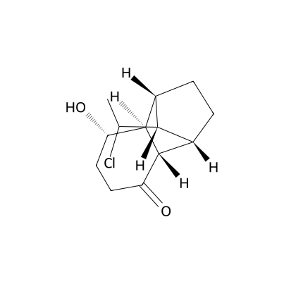 CC(Cl)[C@H]1[C@@H]2CC[C@H]1[C@H]1[C@H]2C(=O)CC[C@@H]1O